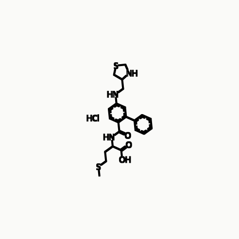 CSCCC(NC(=O)c1ccc(NCC2CSCN2)cc1-c1ccccc1)C(=O)O.Cl